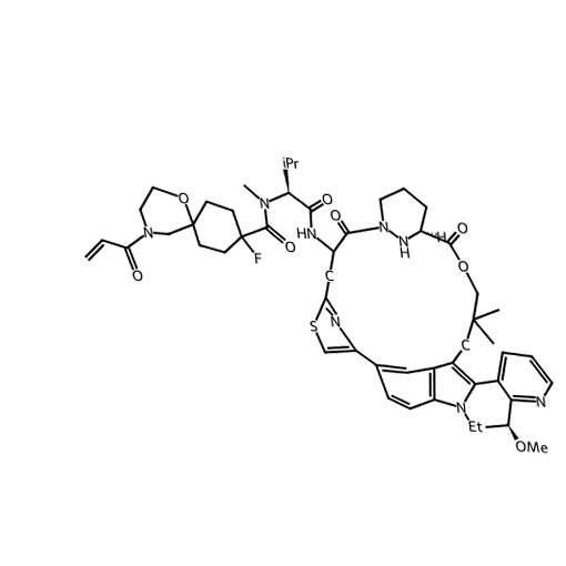 C=CC(=O)N1CCOC2(CCC(F)(C(=O)N(C)[C@H](C(=O)NC3Cc4nc(cs4)-c4ccc5c(c4)c(c(-c4cccnc4[C@H](C)OC)n5CC)CC(C)(C)COC(=O)[C@@H]4CCCN(N4)C3=O)C(C)C)CC2)C1